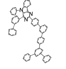 c1ccc(-c2cc(-c3ccccc3)cc(-c3ccc(-c4cccc(-c5ccc(-c6nc(-c7cccc(-c8ccccc8)c7)c7c(n6)c6ccccc6n7-c6ccccc6)cc5)c4)cc3)c2)cc1